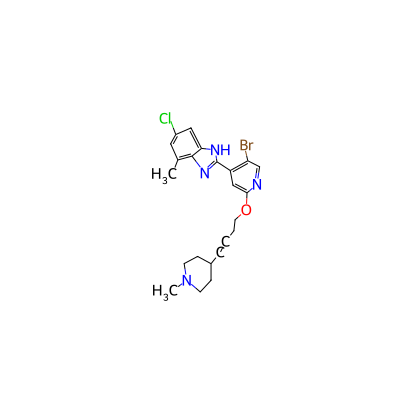 Cc1cc(Cl)cc2[nH]c(-c3cc(OCCCCC4CCN(C)CC4)ncc3Br)nc12